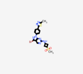 Cc1nnc(-c2ccc(-n3nc(Br)c4cnc(NC5CC(S(C)(=O)=O)C5)nc43)cc2)s1